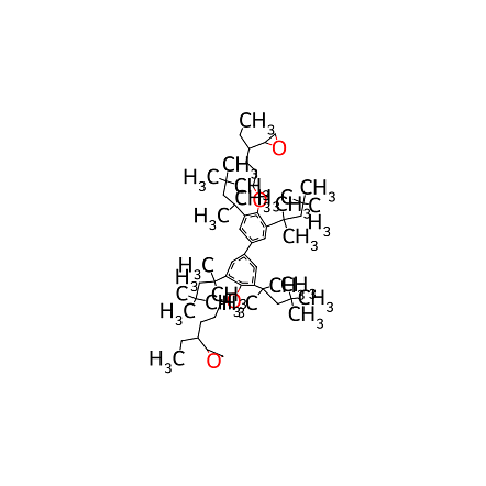 CCC(CCCOc1c(C(C)(C)CC(C)(C)C)cc(-c2cc(C(C)(C)CC(C)(C)C)c(OCCCC(CC)C3CO3)c(C(C)(C)CC(C)(C)C)c2)cc1C(C)(C)CC(C)(C)C)C1CO1